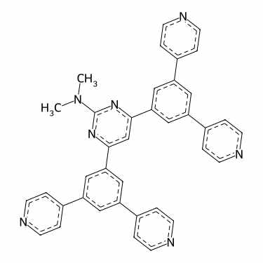 CN(C)c1nc(-c2cc(-c3ccncc3)cc(-c3ccncc3)c2)cc(-c2cc(-c3ccncc3)cc(-c3ccncc3)c2)n1